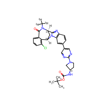 [2H]C([2H])([2H])N1C(=O)c2cccc(Cl)c2[C@H]2C[C@@H]1c1nc3ccc(-c4cnc(N5CC[C@@H](NC(=O)OC(C)(C)C)C5)nc4)cc3n12